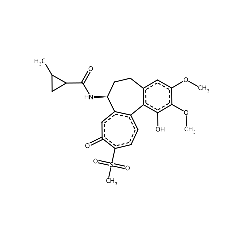 COc1cc2c(c(O)c1OC)-c1ccc(S(C)(=O)=O)c(=O)cc1[C@@H](NC(=O)C1CC1C)CC2